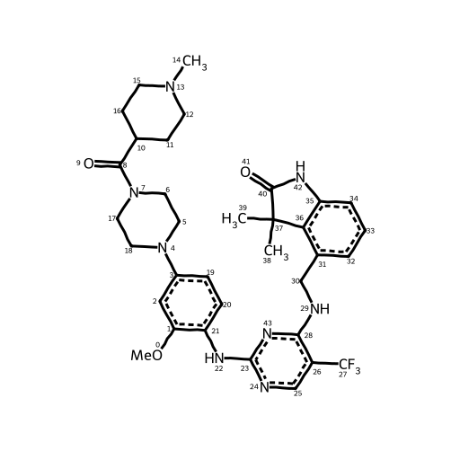 COc1cc(N2CCN(C(=O)C3CCN(C)CC3)CC2)ccc1Nc1ncc(C(F)(F)F)c(NCc2cccc3c2C(C)(C)C(=O)N3)n1